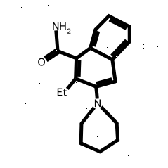 CCc1c(N2CCCCC2)cc2ccccc2c1C(N)=O